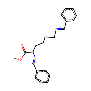 COC(=O)C(CCCC/N=C/c1ccccc1)/N=C/c1ccccc1